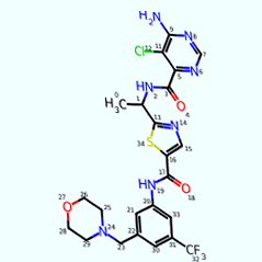 CC(NC(=O)c1ncnc(N)c1Cl)c1ncc(C(=O)Nc2cc(CN3CCOCC3)cc(C(F)(F)F)c2)s1